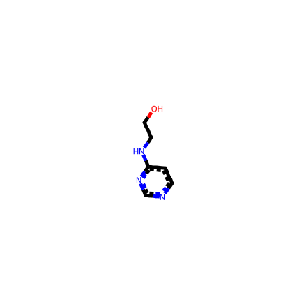 OCCNc1ccncn1